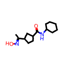 C/C(=N\O)C1CCC(C(=O)NC2CCCCC2)C1